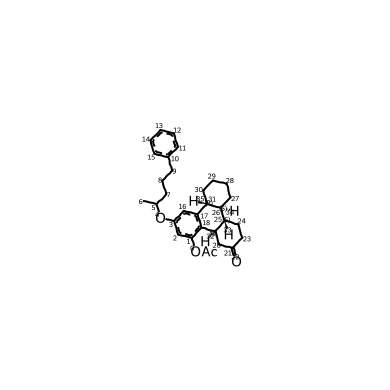 CC(=O)Oc1cc(OC(C)CCCc2ccccc2)cc2c1[C@@H]1CC(=O)CC[C@H]1[C@@H]1CCCC[C@@H]21